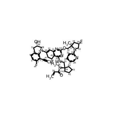 C#Cc1c(F)ccc2c1N(C1=Cc3nc(OC[C@]4(C)C[C@@H](F)CN4c4ccccn4)nc(NCC4(N(C)C(=O)C=C)CCCC4)c3CC1)C[C@@H](O)C2